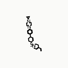 C=CC1=CCN(SC2C=CC(c3ccc(N4CCN(C5CC5)CC4)cc3)CC2)CC1